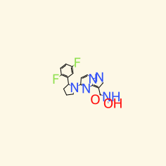 O=C(NO)c1cnn2ccc(N3CCCC3c3cc(F)ccc3F)nc12